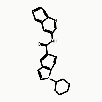 O=C(Nc1cnc2ccccc2c1)c1ccc2c(ccn2C2CCCCC2)c1